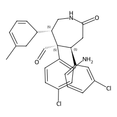 CC1=CC=CC([C@@H]2CNC(=O)C[C@@H](c3cccc(Cl)c3)[C@@]2(C=O)c2ccc(Cl)cc2N)C1